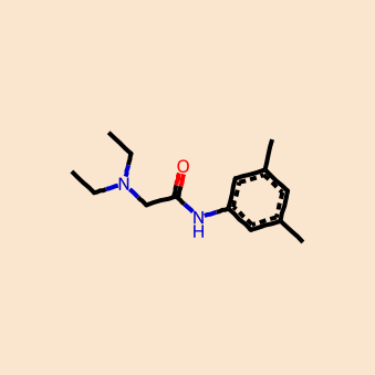 CCN(CC)CC(=O)Nc1cc(C)cc(C)c1